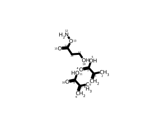 C=C(C)C(=O)O.C=C(C)C(=O)O.NOC(=O)CCO